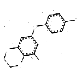 Fc1ccc(Oc2cc(Br)c3c(c2)OCCO3)cc1